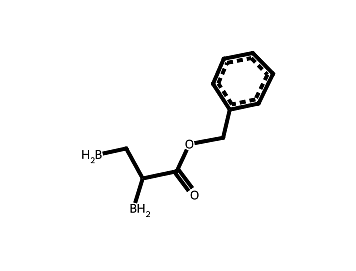 BCC(B)C(=O)OCc1ccccc1